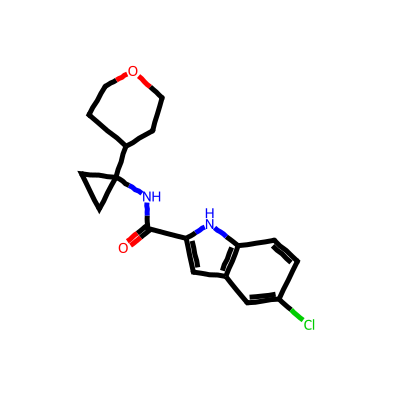 O=C(NC1(C2CCOCC2)CC1)c1cc2cc(Cl)ccc2[nH]1